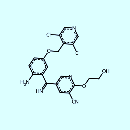 N#Cc1cc(C(=N)c2cc(OCc3c(Cl)cncc3Cl)ccc2N)cnc1OCCO